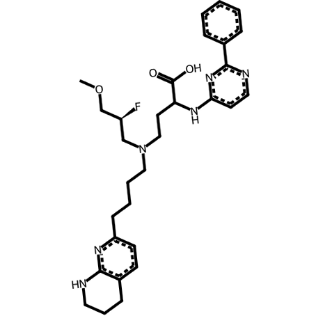 COC[C@@H](F)CN(CCCCc1ccc2c(n1)NCCC2)CCC(Nc1ccnc(-c2ccccc2)n1)C(=O)O